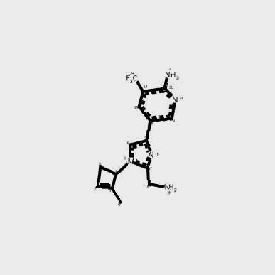 CC1=CCC1n1cc(-c2cnc(N)c(C(F)(F)F)c2)nc1CN